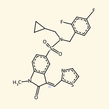 CN1C(=O)/C(=C/c2nccs2)c2cc(S(=O)(=O)N(Cc3ccc(F)cc3F)CC3CC3)ccc21